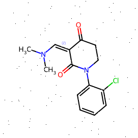 CN(C)/C=C1/C(=O)CCN(c2ccccc2Cl)C1=O